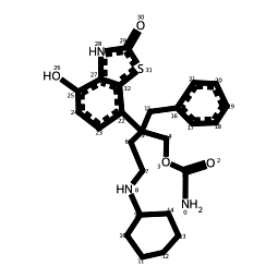 NC(=O)OCC(CCNC1CCCCC1)(Cc1ccccc1)c1ccc(O)c2[nH]c(=O)sc12